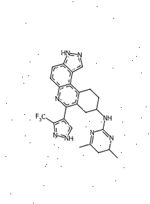 CC1=NC(NC2CCc3c(c(-c4c[nH]nc4C(F)(F)F)nc4ccc5[nH]ncc5c34)C2)=NC(C)C1